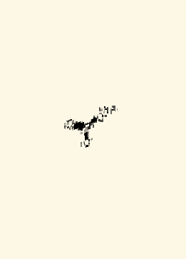 [Ni+2].[O]=[Sn]([O-])[O-]